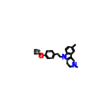 CCOc1ccc(CCn2c3c(c4cc(C)ccc42)CN(C)CC3)cc1